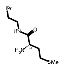 CSCC[C@H](N)C(=O)NCCC(C)C